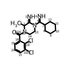 CC1C(=N)N(C(=N)C2CCCCC2)CCN1C(=O)c1cccc(Cl)c1Cl